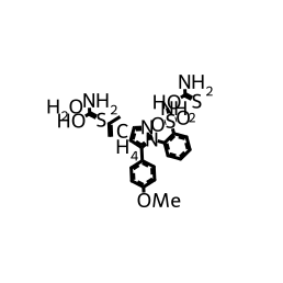 C.C=CC.COc1ccc(-c2ccnn2-c2ccccc2S(N)(=O)=O)cc1.NC(O)=S.NC(O)=S.O